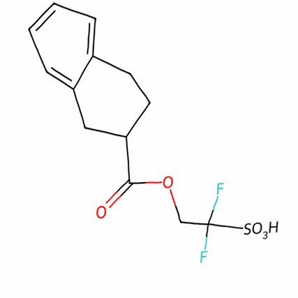 O=C(OCC(F)(F)S(=O)(=O)O)C1CCc2ccccc2C1